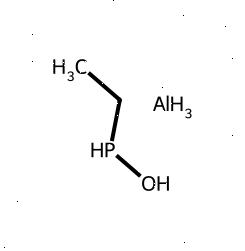 CCPO.[AlH3]